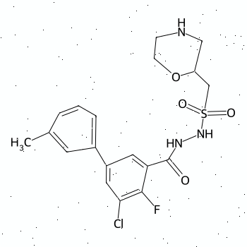 Cc1cccc(-c2cc(Cl)c(F)c(C(=O)NNS(=O)(=O)CC3CNCCO3)c2)c1